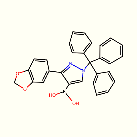 OB(O)c1cn(C(c2ccccc2)(c2ccccc2)c2ccccc2)nc1-c1ccc2c(c1)OCO2